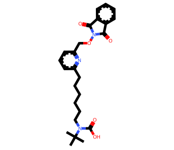 CC(C)(C)N(CCCCCCc1cccc(CON2C(=O)c3ccccc3C2=O)n1)C(=O)O